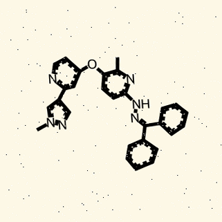 Cc1nc(NN=C(c2ccccc2)c2ccccc2)ccc1Oc1ccnc(-c2cnn(C)c2)c1